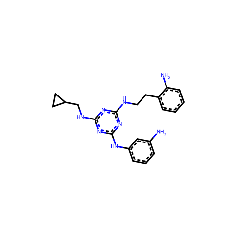 Nc1cccc(Nc2nc(NCCc3ccccc3N)nc(NCC3CC3)n2)c1